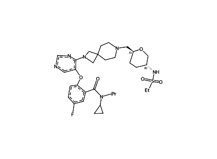 CCS(=O)(=O)N[C@@H]1CC[C@@H](CN2CCC3(CC2)CN(c2ncncc2Oc2ccc(F)cc2C(=O)N(C(C)C)C2CC2)C3)OC1